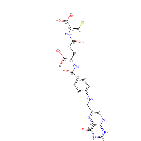 Nc1nc2ncc(CNc3ccc(C(=O)N[C@H](CCC(=O)N[C@H](CS)C(=O)O)C(=O)O)cc3)nc2c(=O)[nH]1